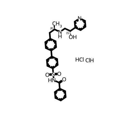 C[C@H](Cc1ccc(-c2ccc(S(=O)(=O)NC(=O)c3ccccc3)cc2)cc1)NC[C@@H](O)c1cccnc1.Cl.Cl